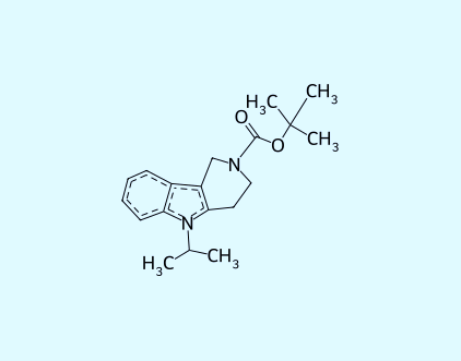 CC(C)n1c2c(c3ccccc31)CN(C(=O)OC(C)(C)C)CC2